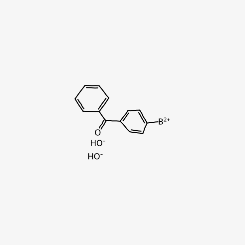 [B+2]c1ccc(C(=O)c2ccccc2)cc1.[OH-].[OH-]